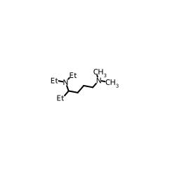 [CH2]CC(CCCN(C)C)N(CC)CC